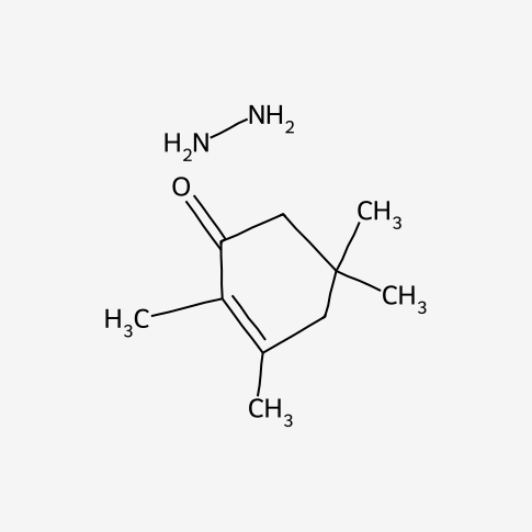 CC1=C(C)C(=O)CC(C)(C)C1.NN